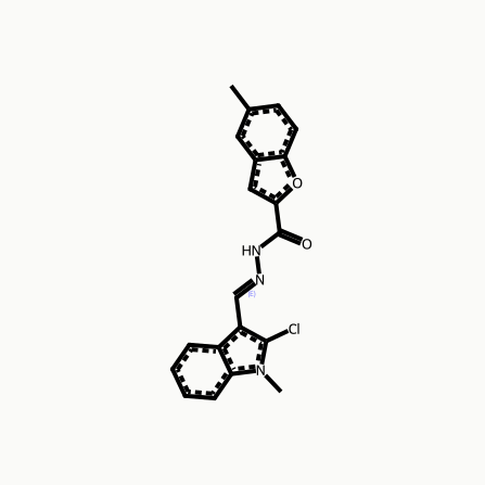 Cc1ccc2oc(C(=O)N/N=C/c3c(Cl)n(C)c4ccccc34)cc2c1